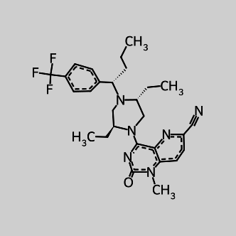 CCC[C@@H](c1ccc(C(F)(F)F)cc1)N1C[C@H](CC)N(c2nc(=O)n(C)c3ccc(C#N)nc23)C[C@H]1CC